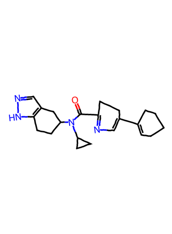 O=C(C1=NC=C(C2=CCCCC2)CC1)N(C1CC1)C1CCc2[nH]ncc2C1